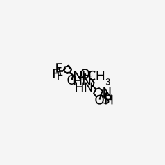 C[C@H](CC(=N)C1CCC(O)(c2nccs2)CC1)NC(=O)CNC(=O)c1cccc(C(F)(F)F)c1